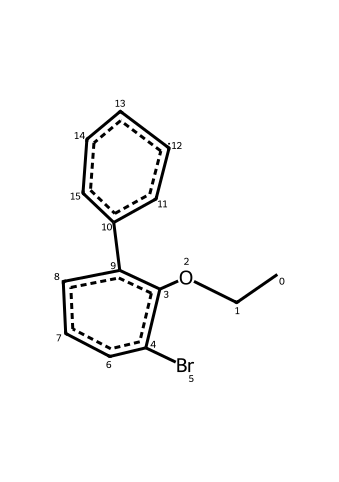 CCOc1c(Br)cccc1-c1c[c]ccc1